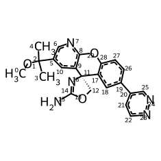 COC(C)(C)c1cnc2c(c1)[C@@]1(COC(N)=N1)c1cc(-c3ccnnc3)ccc1O2